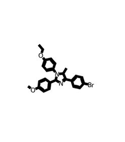 CCOc1ccc(N2C(C)C(c3ccc(Br)cc3)=NC2c2ccc(OC)cc2)cc1